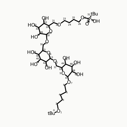 CC(C)(C)OCCCCCOC1OC(COC2OC(COC3OC(COCCCCOP(=O)(O)C(C)(C)C)C(O)C(O)C3O)C(O)C(O)C2O)C(O)C(O)C1O